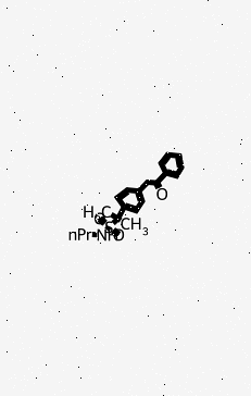 CCCNS(=O)(=O)C(C)(C)c1ccc(CC(=O)c2ccccc2)cc1